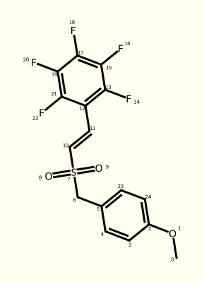 COc1ccc(CS(=O)(=O)C=Cc2c(F)c(F)c(F)c(F)c2F)cc1